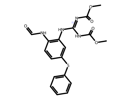 COC(=O)/N=C(\NC(=O)OC)Nc1cc(Sc2ccccc2)ccc1NC=O